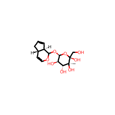 C[C@]1(O)[C@H](O)[C@@H](O)[C@@H](OC2OC=C[C@@H]3CC=C[C@@H]23)O[C@]1(O)CO